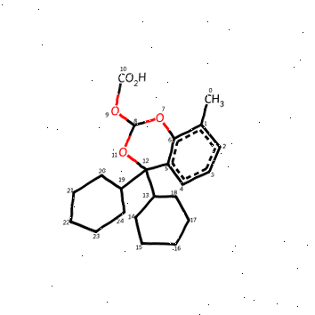 Cc1cccc2c1OC(OC(=O)O)OC2(C1CCCCC1)C1CCCCC1